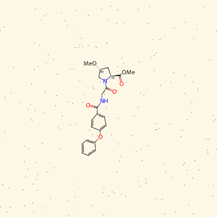 COC(=O)[C@@H]1C[C@@H](OC)CN1C(=O)CNC(=O)c1ccc(Oc2ccccc2)cc1